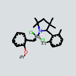 CCc1cccc(C)c1C1[N]([Ru]([Cl])([Cl])=[CH]c2ccccc2OC(C)C)C(C)(C)CC1(C)C